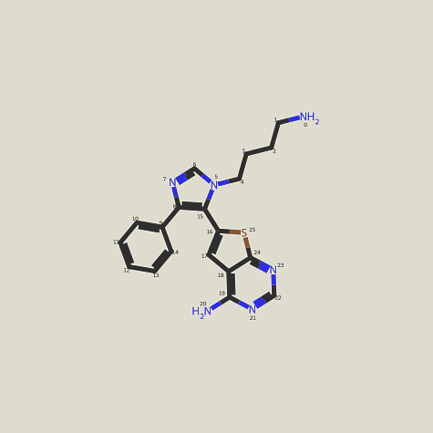 NCCCCn1cnc(-c2ccccc2)c1-c1cc2c(N)ncnc2s1